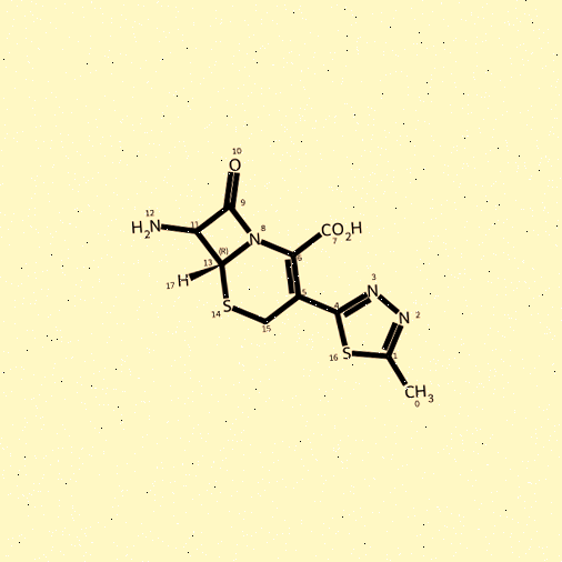 Cc1nnc(C2=C(C(=O)O)N3C(=O)C(N)[C@H]3SC2)s1